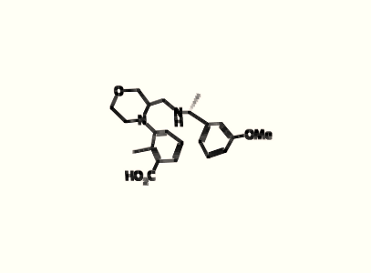 COc1cccc([C@@H](C)NCC2COCCN2c2cccc(C(=O)O)c2C)c1